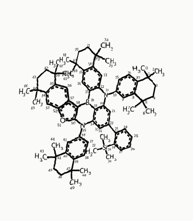 CC1(C)CCC(C)(C)c2cc(N3c4cc5c(cc4B4c6c3cc(-c3ccccc3[Si](C)(C)C)cc6N(c3ccc6c(c3)C(C)(C)CCC6(C)C)c3oc6cc7c(cc6c34)C(C)(C)CCC7(C)C)C(C)(C)CCC5(C)C)ccc21